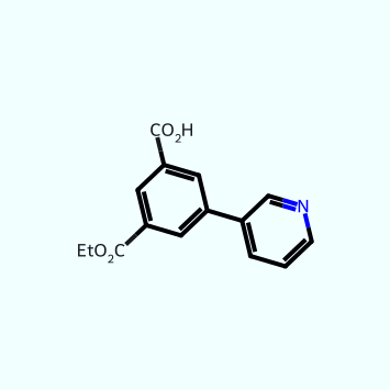 CCOC(=O)c1cc(C(=O)O)cc(-c2cccnc2)c1